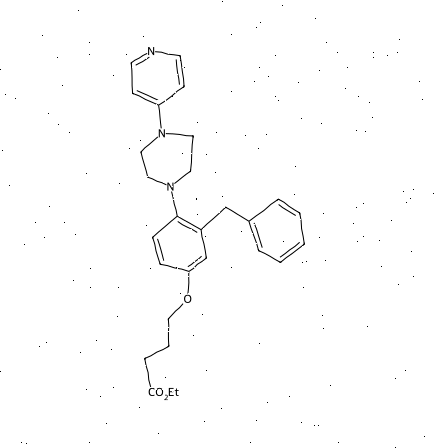 CCOC(=O)CCCOc1ccc(N2CCN(c3ccncc3)CC2)c(Cc2ccccc2)c1